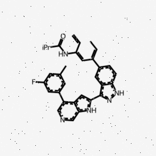 C=C/C(=C\C(=C/C)c1ccc2[nH]nc(-c3cc4c(-c5cc(C)cc(F)c5)cncc4[nH]3)c2c1)NC(=O)C(C)C